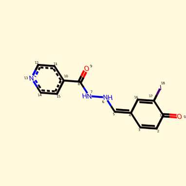 O=C1C=CC(=CNNC(=O)c2ccncc2)C=C1I